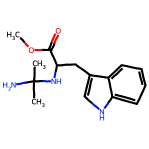 COC(=O)C(Cc1c[nH]c2ccccc12)NC(C)(C)N